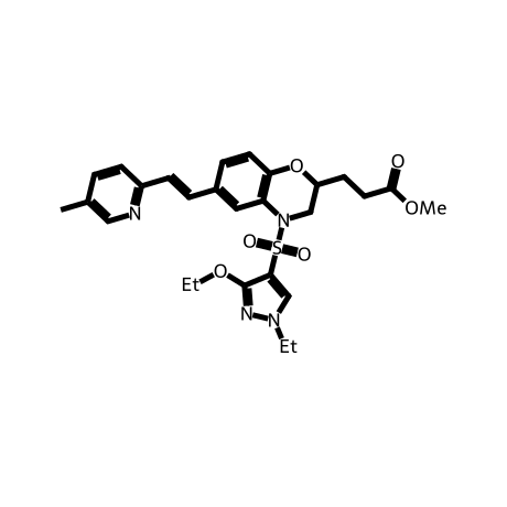 CCOc1nn(CC)cc1S(=O)(=O)N1CC(CCC(=O)OC)Oc2ccc(/C=C/c3ccc(C)cn3)cc21